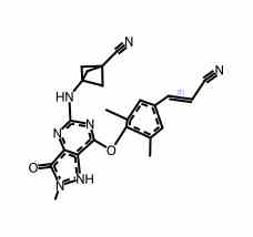 Cc1cc(/C=C/C#N)cc(C)c1Oc1nc(NC23CC(C#N)(C2)C3)nc2c(=O)n(C)[nH]c12